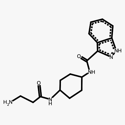 NCCC(=O)NC1CCC(NC(=O)c2n[nH]c3ccccc23)CC1